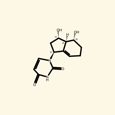 O=c1ccn([C@H]2C[C@H](O)[C@@H]3C2=CCC[C@H]3O)c(=O)[nH]1